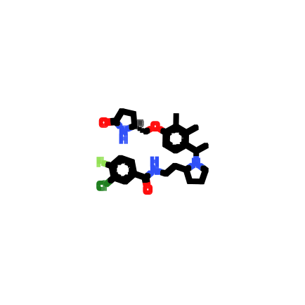 Cc1c(OC[C@H]2CCC(=O)N2)ccc(C(C)N2CCCC2CCNC(=O)c2ccc(F)c(Cl)c2)c1C